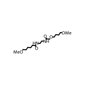 COCCCCCC(=O)NCCNC(=O)COCCCCOC